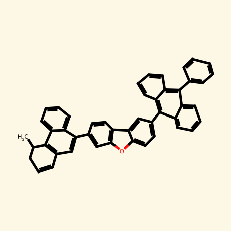 CC1CC=Cc2cc(-c3ccc4c(c3)oc3ccc(-c5c6ccccc6c(-c6ccccc6)c6ccccc56)cc34)c3ccccc3c21